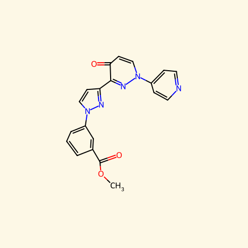 COC(=O)c1cccc(-n2ccc(-c3nn(-c4ccncc4)ccc3=O)n2)c1